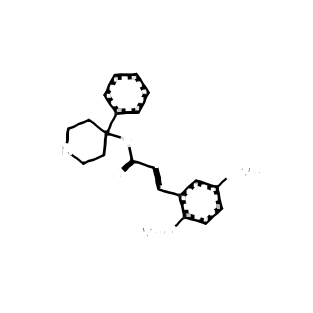 COc1ccc(OC)c(/C=C/C(=O)OC2(c3ccccc3)CCNCC2)c1